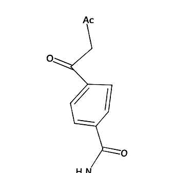 CC(=O)CC(=O)c1ccc(C(N)=O)cc1